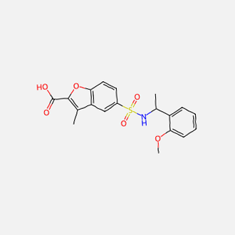 COc1ccccc1C(C)NS(=O)(=O)c1ccc2oc(C(=O)O)c(C)c2c1